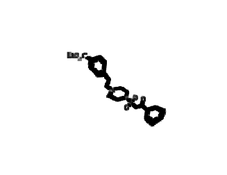 CCOC(=O)c1ccc(CCN2CCN(S(=O)(=O)CC(=O)c3ccccc3)CC2)cc1